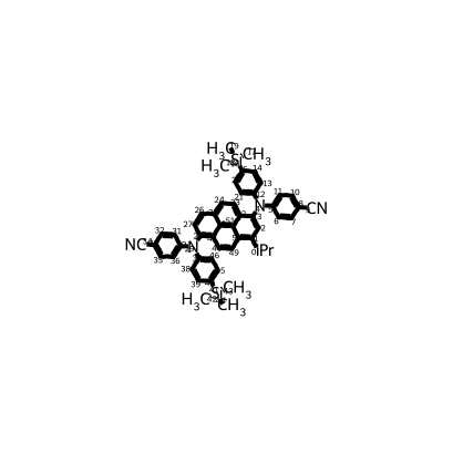 CC(C)c1cc(N(c2ccc(C#N)cc2)c2ccc([Si](C)(C)C)cc2)c2ccc3ccc(N(c4ccc(C#N)cc4)c4ccc([Si](C)(C)C)cc4)c4ccc1c2c34